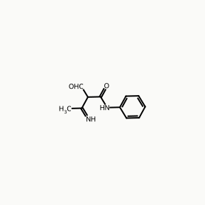 CC(=N)C(C=O)C(=O)Nc1ccccc1